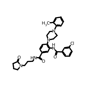 Cc1ccccc1N1CCN(c2ccc(C(=O)NCCCN3CCCC3=O)cc2NC(=O)c2cccc(Cl)c2)CC1